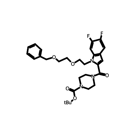 CC(C)(C)OC(=O)N1CCN(C(=O)c2cc3cc(F)c(F)cc3n2CCOCCOCc2ccccc2)CC1